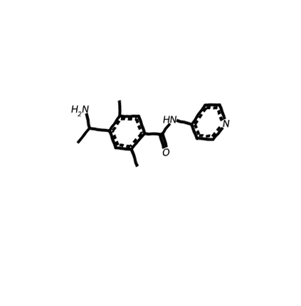 Cc1cc(C(C)N)c(C)cc1C(=O)Nc1ccncc1